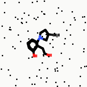 O=C(O)C1CCN(c2cccc(O)c2CCO)C1